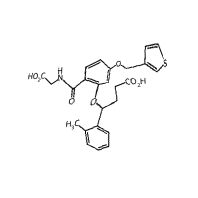 Cc1ccccc1C(CCC(=O)O)Oc1cc(OCc2ccsc2)ccc1C(=O)NCC(=O)O